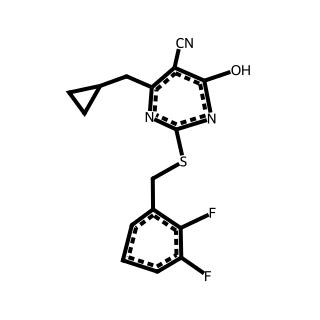 N#Cc1c(O)nc(SCc2cccc(F)c2F)nc1CC1CC1